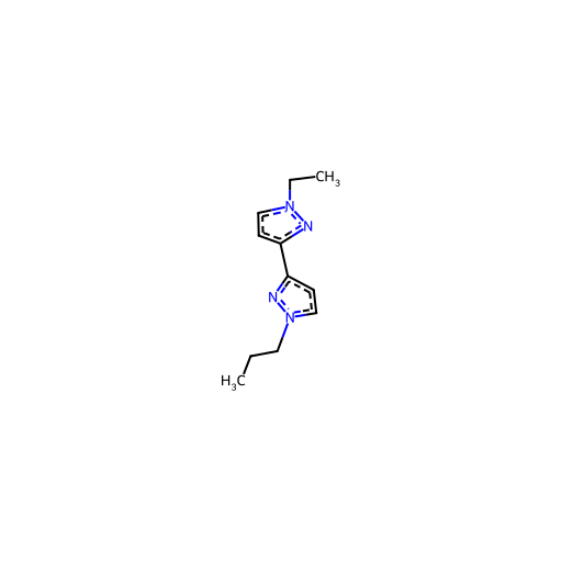 CCCn1ccc(-c2ccn(CC)n2)n1